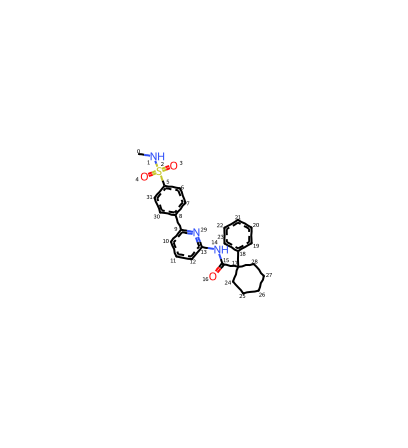 CNS(=O)(=O)c1ccc(-c2cccc(NC(=O)C3(c4ccccc4)CCCCC3)n2)cc1